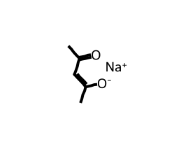 CC(=O)C=C(C)[O-].[Na+]